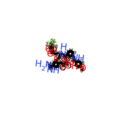 COc1ccc(C(=O)Nc2cccc(C(=O)N[C@H](CCC(=O)OC(=O)C(F)(F)F)COc3cc(C(=N)N)ccc3CC(=O)C(=O)O)c2)cc1